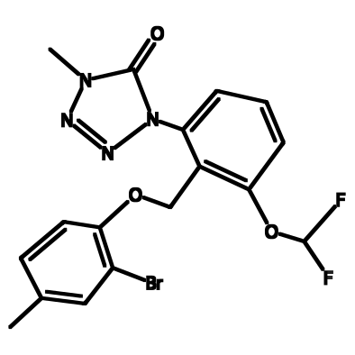 Cc1ccc(OCc2c(OC(F)F)cccc2-n2nnn(C)c2=O)c(Br)c1